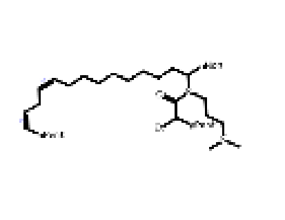 CCCCC/C=C\C/C=C\CCCCCCCCC(CCCCCCCCC)N(CCCN(C)C)C(=O)C(CC)CCCCC